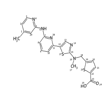 Cc1ccnc(Nc2cccc(-c3cnc(N(C)Cc4ccc(C(=O)O)s4)s3)n2)c1